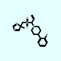 C=CC(N1CCC(c2ccccc2F)CC1)S(=O)(=O)CC1(C)C=NC=N1